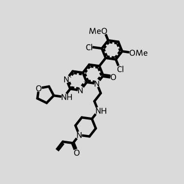 C=CC(=O)N1CCC(NCCn2c(=O)c(-c3c(Cl)c(OC)cc(OC)c3Cl)cc3cnc(NC4CCOC4)nc32)CC1